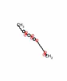 C=CC(=O)OCCCCCCCCCCCOc1ccc(OC(=O)C2CCC(C(=O)Oc3ccc(CCCCCC)cc3)CC2)cc1